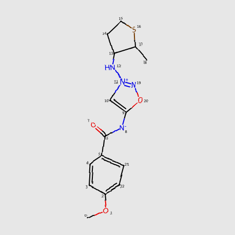 COc1ccc(C(=O)[N-]c2c[n+](NC3CCSC3C)no2)cc1